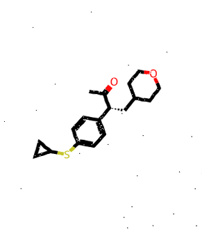 CC(=O)[C@H](CC1CCOCC1)c1ccc(SC2CC2)cc1